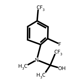 CN(c1ccc(C(F)(F)F)cc1F)C(C)(O)C(F)(F)F